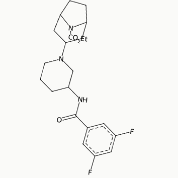 CCOC(=O)N1C2CCC1CC(N1CCCC(NC(=O)c3cc(F)cc(F)c3)C1)C2